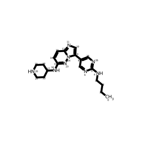 CCCCNc1ncc(-c2cnc3ccc(NC4CCNCC4)nn23)cn1